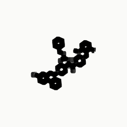 CSc1cccc(F)c1CN1CCN(C(=O)[C@H](NC(=O)OCc2ccccc2)C2CCN(CCc3cc(Cl)ccc3-c3ccccc3)CC2)CC1